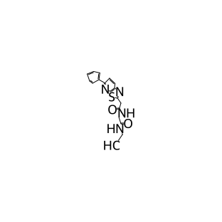 C#CCNC(=O)CNC(=O)Cc1nc2ccc(-c3ccccc3)nc2s1